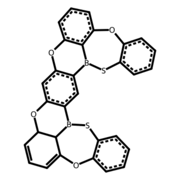 C1=CC2Oc3cc4c(cc3B3Sc5ccccc5OC(=C1)C32)B1Sc2ccccc2Oc2cccc(c21)O4